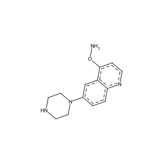 NOc1ccnc2ccc(N3CCNCC3)cc12